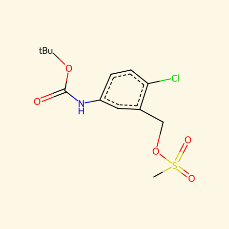 CC(C)(C)OC(=O)Nc1ccc(Cl)c(COS(C)(=O)=O)c1